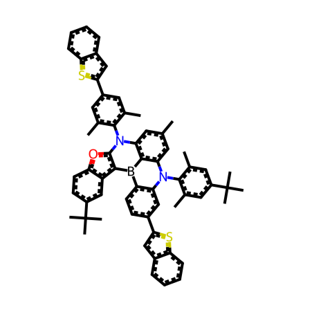 Cc1cc2c3c(c1)N(c1c(C)cc(-c4cc5ccccc5s4)cc1C)c1oc4ccc(C(C)(C)C)cc4c1B3c1ccc(-c3cc4ccccc4s3)cc1N2c1c(C)cc(C(C)(C)C)cc1C